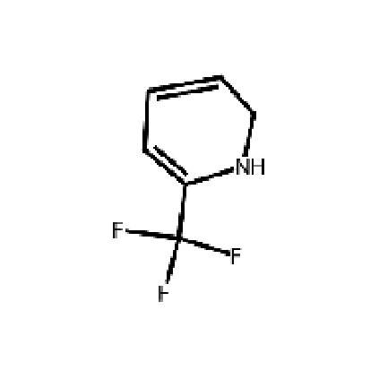 FC(F)(F)C1=CC=CCN1